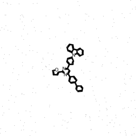 c1ccc(-c2ccc(-c3cc(-c4ccc(-n5c6ccccc6c6ccccc65)cc4)nc(-c4ccco4)n3)cc2)cc1